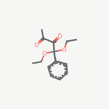 CCOC(OCC)(C(=O)C(C)=O)c1ccccc1